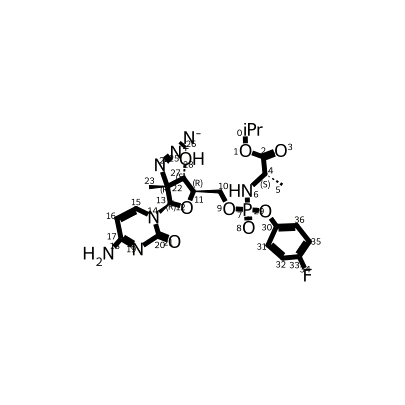 CC(C)OC(=O)[C@H](C)NP(=O)(OC[C@H]1O[C@@H](n2ccc(N)nc2=O)[C@](C)(N=[N+]=[N-])[C@@H]1O)Oc1ccc(F)cc1